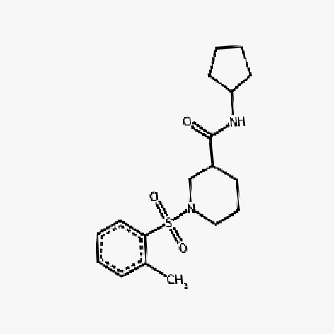 Cc1ccccc1S(=O)(=O)N1CCCC(C(=O)NC2CCCC2)C1